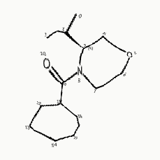 CC(C)[C@H]1COCCN1C(=O)C1CCCCC1